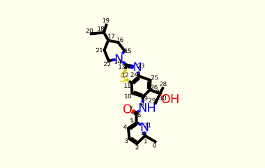 Cc1cccc(C(=O)Nc2cc3sc(N4CCC(C(C)C)CC4)nc3cc2C(C)(C)O)n1